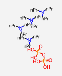 CCCN(CCC)CCC.CCCN(CCC)CCC.CCCN(CCC)CCC.CCCN(CCC)CCC.O=P(O)(O)OP(=O)(O)O